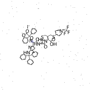 COC(=O)C(O/N=C(\C(=O)N[C@@H]1C(=O)N2C(C(=O)O)=C(CSc3cc[n+](CC(F)(F)F)cc3)CS[C@H]12)c1csc(NC(c2ccccc2)(c2ccccc2)c2ccccc2)n1)(c1ccccc1)c1ccccc1.[I-]